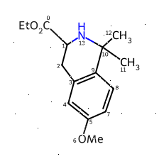 CCOC(=O)C1Cc2cc(OC)ccc2C(C)(C)N1